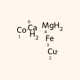 [CaH2].[Co].[Cu].[Fe].[MgH2]